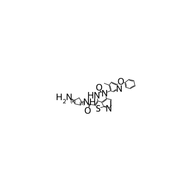 Cc1cc(Oc2ccccc2)ncc1N1C(=O)Nc2c(C(=O)N[C@H]3CC[C@@H](N)C3)sc3nccc1c23